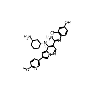 COc1ccc(-c2cc3c(N[C@@H]4CCC[C@@H](N)C4)c(/C(N)=N/c4ccc(O)cc4Cl)cnn3c2)cn1